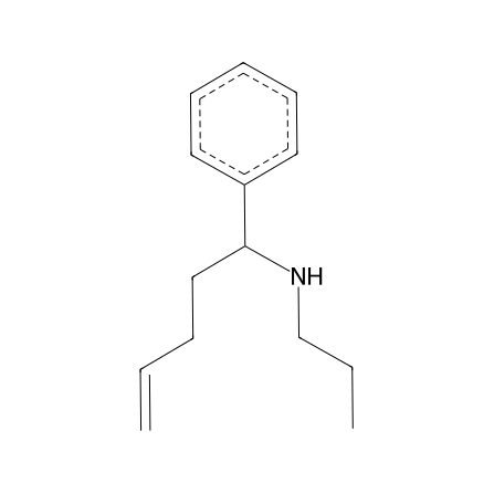 C=CCCC(NCCC)c1ccccc1